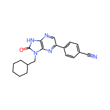 N#Cc1ccc(-c2cnc3[nH]c(=O)n(CC4CCCCC4)c3n2)cc1